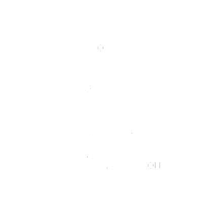 COc1ccccc1-c1oc2ccccc2c(=O)c1OC(=O)O